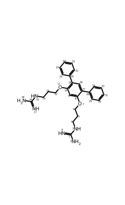 N=C(N)NCCCOc1cc(OCCCNC(=N)N)c(-c2ccccc2)cc1-c1ccccc1